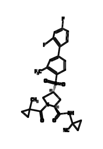 CC1(C(=O)N2C[C@H](S(=O)(=O)c3ccc(-c4ccc(F)cc4F)cc3C(F)(F)F)C[C@H]2C(=O)NC2(C#N)CC2)CC1